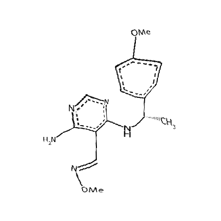 CO/N=C/c1c(N)ncnc1N[C@@H](C)c1ccc(OC)cc1